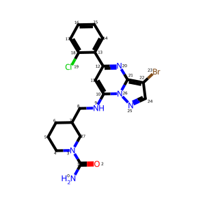 NC(=O)N1CCCC(CNc2cc(-c3ccccc3Cl)nc3c(Br)cnn23)C1